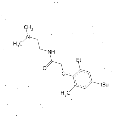 CCc1cc(C(C)(C)C)cc(C)c1OCC(=O)NCCN(C)C